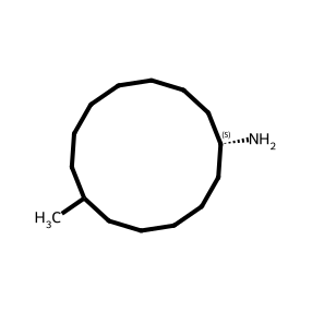 CC1CCCCCCC[C@H](N)CCCCC1